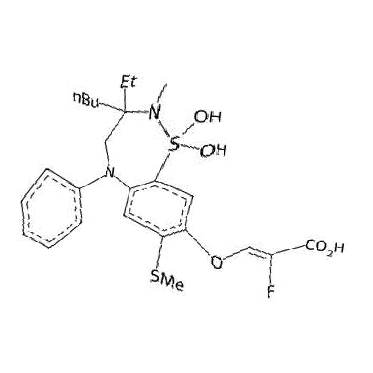 CCCCC1(CC)CN(c2ccccc2)c2cc(SC)c(OC=C(F)C(=O)O)cc2S(O)(O)N1C